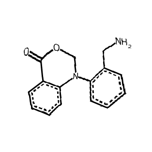 NCc1ccccc1N1COC(=O)c2ccccc21